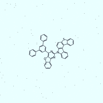 c1ccc(-c2cc(-c3ccccc3)cc(-c3nc(-n4c5ccccc5c5c6c(ccc54)sc4ccccc46)nc4c3oc3ccccc34)c2)cc1